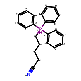 N#CCCCC[PH](c1ccccc1)(c1ccccc1)c1ccccc1